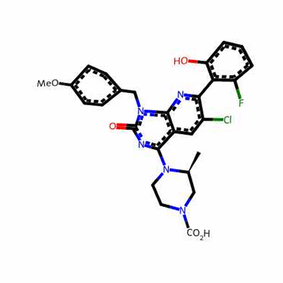 COc1ccc(Cn2c(=O)nc(N3CCN(C(=O)O)C[C@@H]3C)c3cc(Cl)c(-c4c(O)cccc4F)nc32)cc1